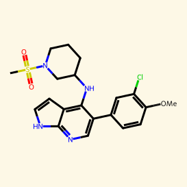 COc1ccc(-c2cnc3[nH]ccc3c2NC2CCCN(S(C)(=O)=O)C2)cc1Cl